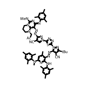 CNc1n/c(=N\c2c(C)cc(C)cc2C)c(N=Nc2nn(-c3nnc(-n4nc(C(C)(C)C)c(C#N)c4N=Nc4c(C)cc(N(C)c5c(C)cc(C)cc5C)nc4Nc4c(C)cc(C)cc4C)s3)cc2C#N)c2n1CCCN2CC(C)=O